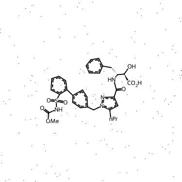 CCCc1cc(C(=O)N[C@H](Cc2ccccc2)[C@@H](O)C(=O)O)nn1Cc1ccc(-c2ccccc2S(=O)(=O)NC(=O)OC)cc1